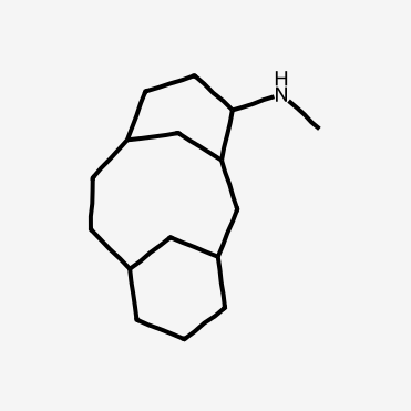 CNC1CCC2CCC3CCCC(C3)CC1C2